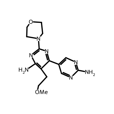 COCCc1c(N)nc(N2CCOCC2)nc1-c1cnc(N)nc1